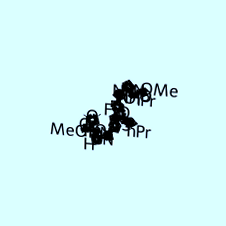 CCCc1ccc(C2Oc3cc(-c4cnc([C@@H]5CCCN5C(=O)[C@@H](NC(=O)OC)C(C)C)[nH]4)cc(F)c3-c3cc4cc(-c5cnc([C@@H]6CCCN6C(=O)C(NC(=O)OC)C6C[C@@H](C)O[C@@H](C)C6)[nH]5)ccc4n32)s1